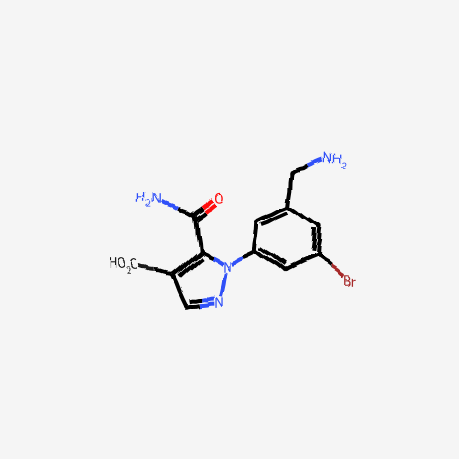 NCc1cc(Br)cc(-n2ncc(C(=O)O)c2C(N)=O)c1